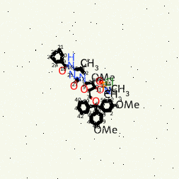 COc1ccc(C(OC[C@H]2O[C@@H](n3cc(C)c(NC(=O)c4ccccc4)nc3=O)[C@@H](OC)C2OP(=O)(Cl)N(C)C)(c2ccccc2)c2ccc(OC)cc2)cc1